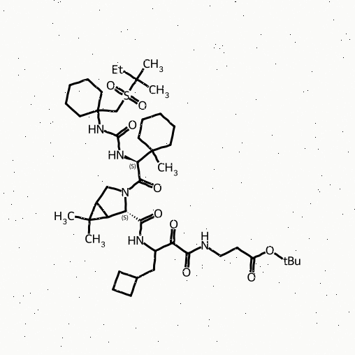 CCC(C)(C)S(=O)(=O)CC1(NC(=O)N[C@H](C(=O)N2CC3C([C@H]2C(=O)NC(CC2CCC2)C(=O)C(=O)NCCC(=O)OC(C)(C)C)C3(C)C)C2(C)CCCCC2)CCCCC1